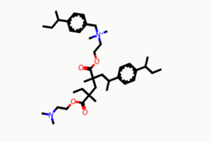 CCC(C)c1ccc(C[N+](C)(C)CCOC(=O)C(C)(CC(C)c2ccc(C(C)CC)cc2)CC(C)(CC)C(=O)OCCN(C)C)cc1